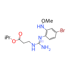 CONc1cc(Br)ccc1/N=C(\N)NCCC(=O)OC(C)C